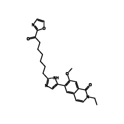 CCn1ccc2cc(-c3cnc(CCCCCCC(=O)c4ncco4)[nH]3)c(OC)cc2c1=O